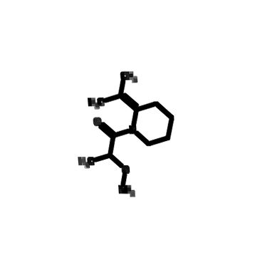 CC(C)=C1CCCCN1C(=O)C(C)ON